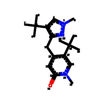 Cn1cc(C(C)(C)C)c(Cc2cc(=O)n(C)cc2C(C)(C)C)n1